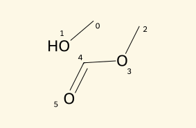 CO.COC=O